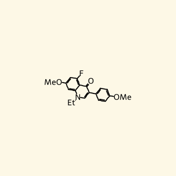 CCn1cc(-c2ccc(OC)cc2)c(=O)c2c(F)cc(OC)cc21